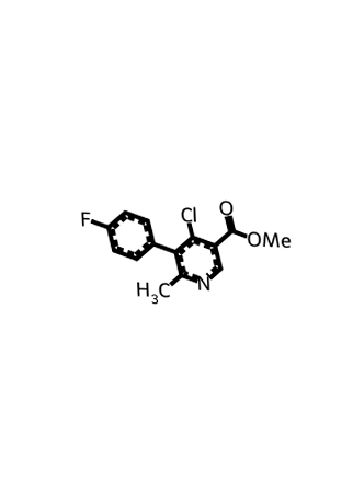 COC(=O)c1cnc(C)c(-c2ccc(F)cc2)c1Cl